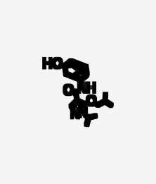 CC(C)COc1c(C(=O)NC2C3CC4CC2CC(O)(C4)C3)cnn1C(C)C